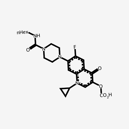 CCCCCCNC(=O)N1CCN(c2cc3c(cc2F)c(=O)c(OC(=O)O)cn3C2CC2)CC1